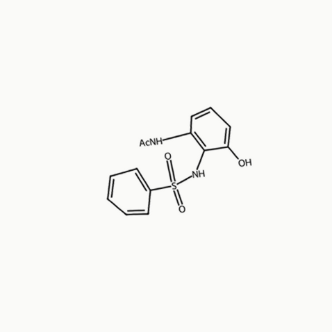 CC(=O)Nc1cccc(O)c1NS(=O)(=O)c1ccccc1